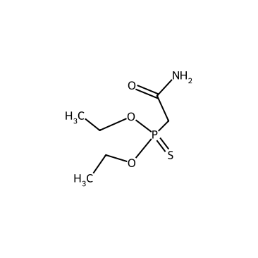 CCOP(=S)(CC(N)=O)OCC